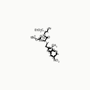 CCOC(=O)[C@H](CC(C)C)NC(=O)[C@H](CCc1nc2cc([N+](=O)[O-])cnc2n1C)NC(=O)OC(C)(C)C